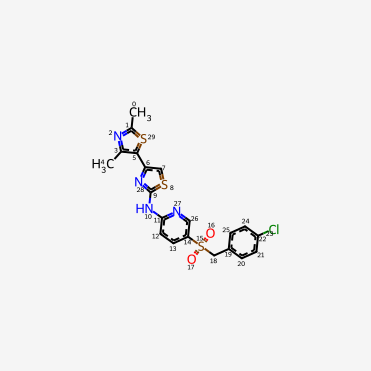 Cc1nc(C)c(-c2csc(Nc3ccc(S(=O)(=O)Cc4ccc(Cl)cc4)cn3)n2)s1